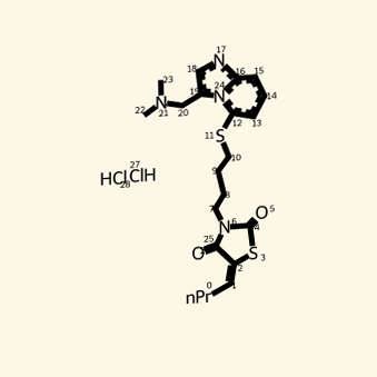 CCC/C=C1/SC(=O)N(CCCCSc2cccc3ncc(CN(C)C)n23)C1=O.Cl.Cl